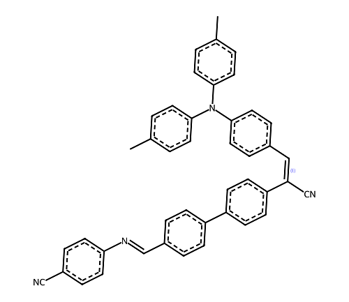 Cc1ccc(N(c2ccc(C)cc2)c2ccc(/C=C(/C#N)c3ccc(-c4ccc(C=Nc5ccc(C#N)cc5)cc4)cc3)cc2)cc1